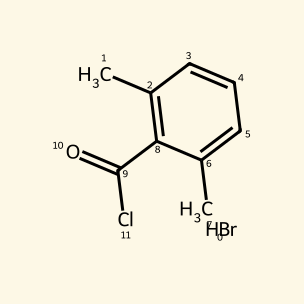 Br.Cc1cccc(C)c1C(=O)Cl